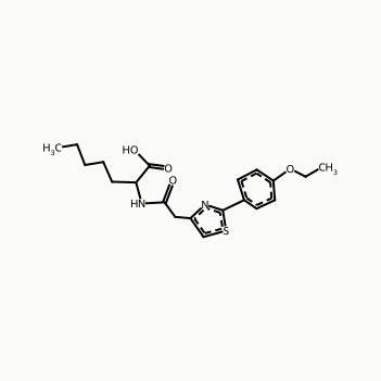 CCCCCC(NC(=O)Cc1csc(-c2ccc(OCC)cc2)n1)C(=O)O